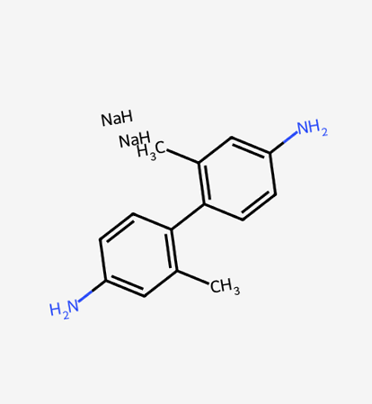 Cc1cc(N)ccc1-c1ccc(N)cc1C.[NaH].[NaH]